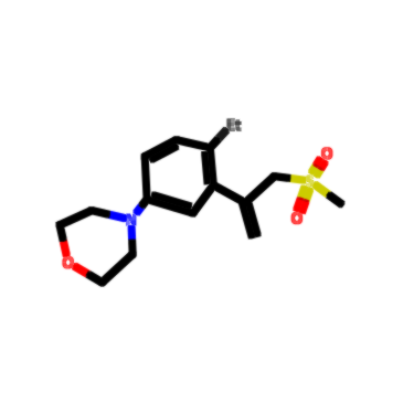 C=C(CS(C)(=O)=O)c1cc(N2CCOCC2)ccc1CC